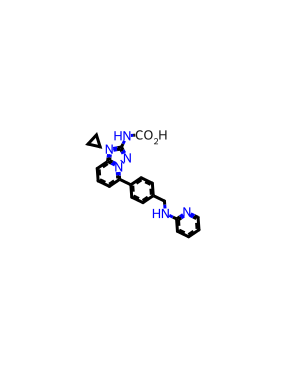 C1CC1.O=C(O)Nc1nc2cccc(-c3ccc(CNc4ccccn4)cc3)n2n1